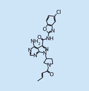 C/C=C/C(=O)N1CCC(n2nc(C(=O)Nc3nc4cc(Cl)ccc4o3)c3c(N)ncnc32)C1